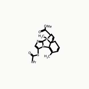 CCCC(=O)Sc1cnc2n1C1=C(C)C=CCC13C=CC=C(C(=O)OC)[N+]23C